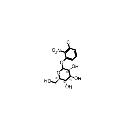 O=[N+]([O-])c1c(Cl)cccc1OC1O[C@H](CO)[C@@H](O)[C@H](O)[C@H]1O